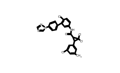 Cc1cc(Cl)cc(C2C(C(=O)Nc3ccc(Cl)c(-c4ccc(-n5cncn5)cc4)c3)C2(Cl)Cl)c1